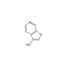 Oc1coc2cnccc12